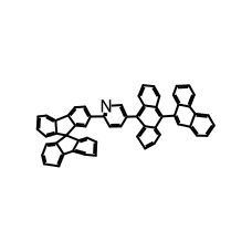 c1ccc2c(c1)-c1ccccc1C21c2ccccc2-c2ccc(-c3ccc(-c4c5ccccc5c(-c5cc6ccccc6c6ccccc56)c5ccccc45)cn3)cc21